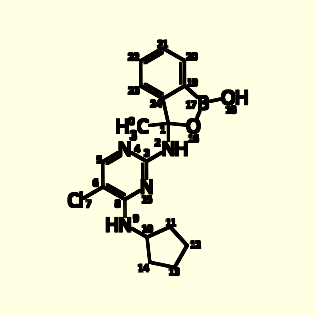 CC1(Nc2ncc(Cl)c(NC3CCCC3)n2)OB(O)c2ccccc21